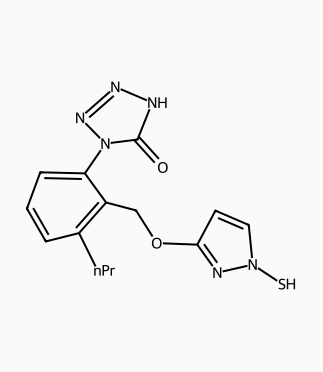 CCCc1cccc(-n2nn[nH]c2=O)c1COc1ccn(S)n1